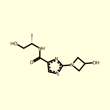 C[C@@H](CO)NC(=O)c1csc(N2CC(O)C2)n1